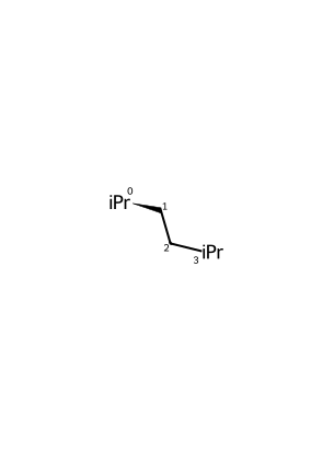 [CH2][C@H](C)CCC(C)C